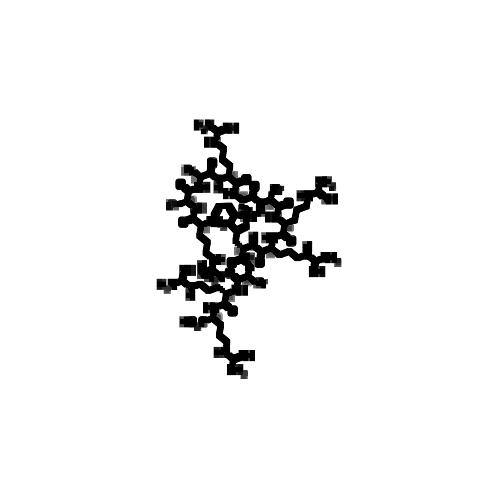 CC(C)[C@H](NC(=O)[C@H](Cc1c[nH]c2ccccc12)NC(=O)[C@H](CCCNC(=N)N)NC(=O)[C@H](CCCNC(=N)N)NC(=O)[C@@H](NC(=O)[C@@H](NC(=O)[C@H](CCCNC(=N)N)NC(=O)[C@@H](NC(=O)[C@@H](NC(=O)[C@@H](N)CCCNC(=N)N)C(C)C)C(C)C)C(C)C)C(C)C)C(=O)N[C@@H](CCCNC(=N)N)C(=O)N[C@@H](CCCNC(=N)N)C(=O)O